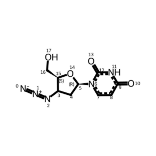 [N-]=[N+]=NC1C[C@H](n2ccc(=O)[nH]c2=O)O[C@@H]1CO